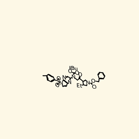 CCC1CN(C(=O)OCc2ccccc2)CC1C(=O)CN(C(=O)OC(C)(C)C)c1cnc2c(ccn2S(=O)(=O)c2ccc(C)cc2)n1